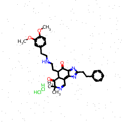 COc1ccc(CCNCCC2C(=O)C3=NC(CCc4ccccc4)=NC3=C3C=NC(C)(C)C(=O)C32)cc1OC.Cl.Cl